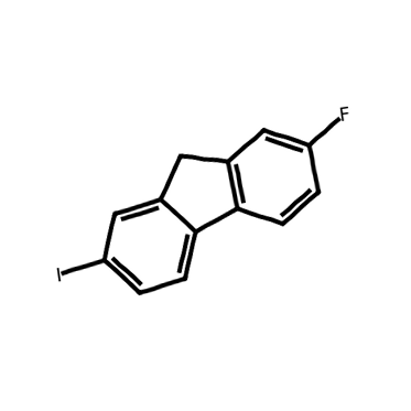 Fc1ccc2c(c1)Cc1cc(I)ccc1-2